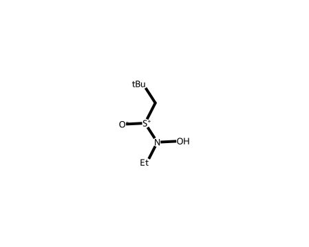 CCN(O)[S+]([O-])CC(C)(C)C